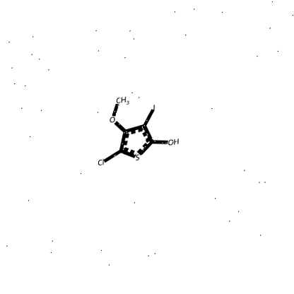 COc1c(Cl)sc(O)c1I